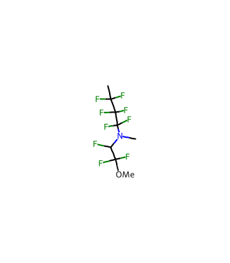 COC(F)(F)C(F)N(C)C(F)(F)C(F)(F)C(C)(F)F